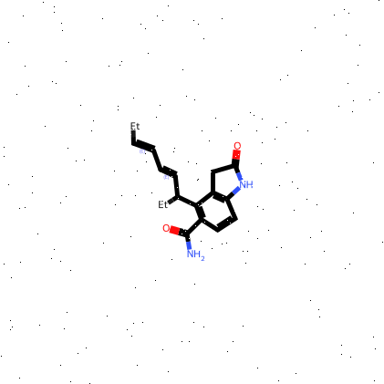 CC/C=C/C=C/C(CC)c1c(C(N)=O)ccc2c1CC(=O)N2